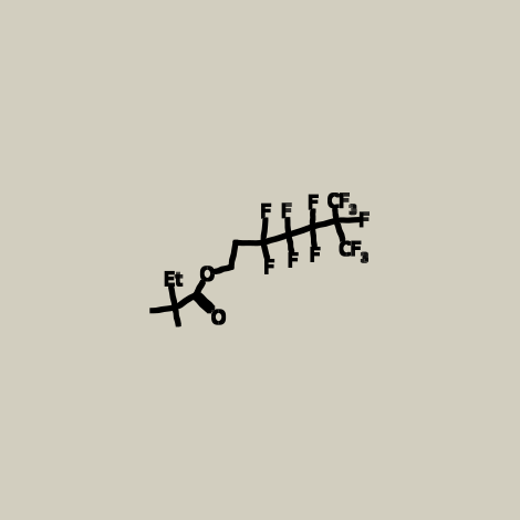 CCC(C)(C)C(=O)OCCC(F)(F)C(F)(F)C(F)(F)C(F)(C(F)(F)F)C(F)(F)F